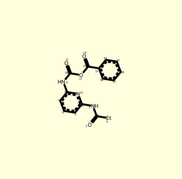 CCC(=O)Nc1cccc(NC(=O)OC(=O)c2ccccc2)n1